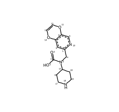 O=C(O)N(Cc1cc2c(cn1)OC=CO2)C1CCNCC1